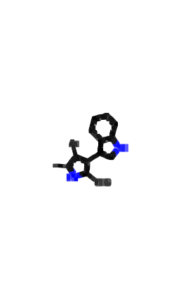 CC(=O)c1c(C)[nH]c(C=O)c1-c1c[nH]c2ccccc12